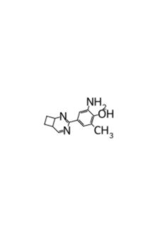 Cc1cc(C2=NC3CCC3C=N2)cc(N)c1O